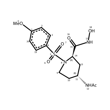 COc1ccc(S(=O)(=O)N2CC[C@@H](NC(C)=O)C[C@@H]2C(=O)NO)cc1